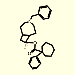 C[C@]1(OC(=O)C2(c3ccccc3)CCCCCC2)CC2CCN(Cc3ccccc3)CCC21